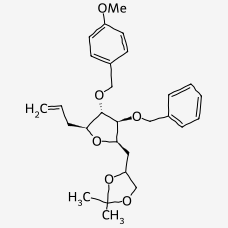 C=CC[C@@H]1O[C@H](CC2COC(C)(C)O2)[C@H](OCc2ccccc2)[C@H]1OCc1ccc(OC)cc1